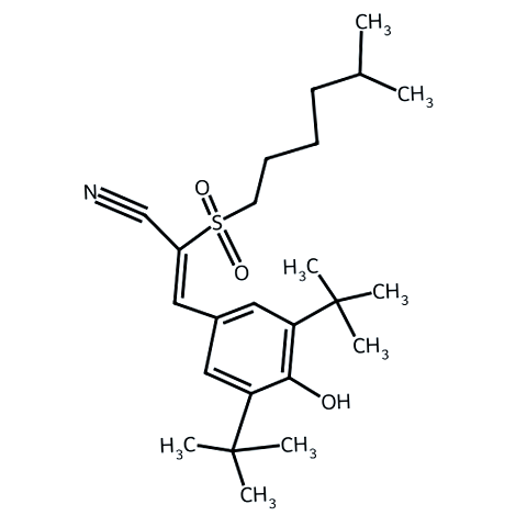 CC(C)CCCCS(=O)(=O)C(C#N)=Cc1cc(C(C)(C)C)c(O)c(C(C)(C)C)c1